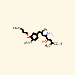 COCCCOc1cc(CC(CC(N)C(O)CC(C)C(=O)O)C(C)C)ccc1OC